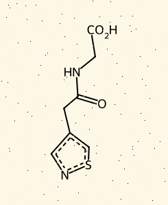 O=C(O)CNC(=O)Cc1cnsc1